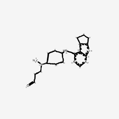 CN(CCC=O)C1CCC(Nc2ncnc3sc4c(c23)CCC4)CC1